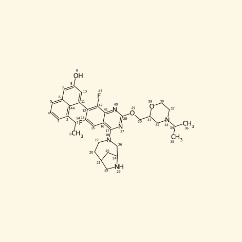 CCc1cccc2cc(O)cc(-c3c(F)cc4c(N5CCC6CNC(C6)C5)nc(OCC5CN(C(C)C)CCO5)nc4c3F)c12